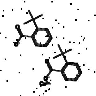 CC(C)(C)c1ccccc1C(=O)[O-].CC(C)(C)c1ccccc1C(=O)[O-].[Cu+2]